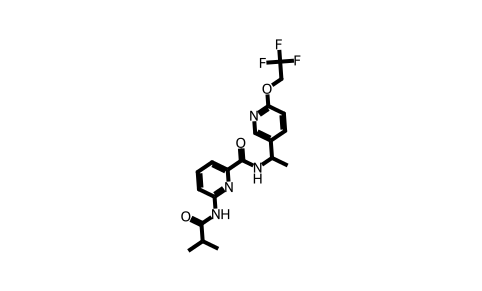 CC(C)C(=O)Nc1cccc(C(=O)NC(C)c2ccc(OCC(F)(F)F)nc2)n1